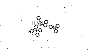 CC(c1ccccc1)(c1ccccc1)c1cc(C/C=C(\N=C(/N)c2ccccc2)c2ccc(-c3ccc(-n4c5ccccc5c5ccccc54)cc3)c3ccccc23)ccc1-c1ccccc1